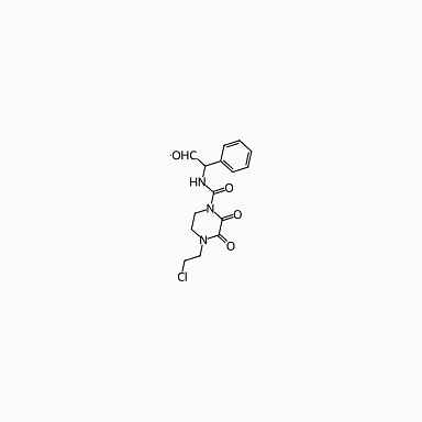 O=[C]C(NC(=O)N1CCN(CCCl)C(=O)C1=O)c1ccccc1